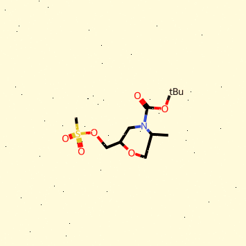 CC1COC(COS(C)(=O)=O)CN1C(=O)OC(C)(C)C